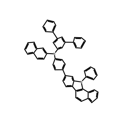 c1ccc(-c2cc(-c3ccccc3)cc(N(c3ccc(-c4ccc5c6ccc7ccccc7c6n(-c6ccccc6)c5c4)cc3)c3ccc4ccccc4c3)c2)cc1